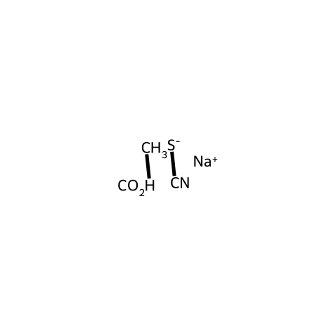 CC(=O)O.N#C[S-].[Na+]